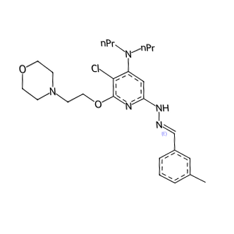 CCCN(CCC)c1cc(N/N=C/c2cccc(C)c2)nc(OCCN2CCOCC2)c1Cl